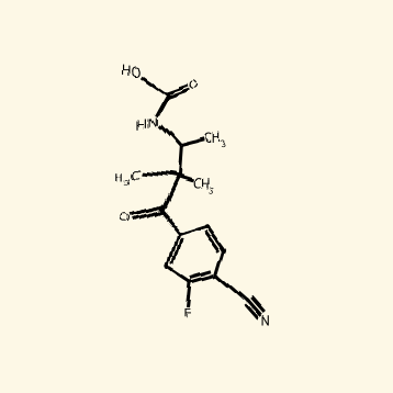 CC(NC(=O)O)C(C)(C)C(=O)c1ccc(C#N)c(F)c1